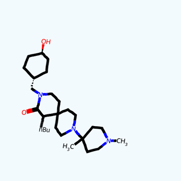 CCCCC1C(=O)N(C[C@H]2CC[C@H](O)CC2)CCC12CCN(C1(C)CCN(C)CC1)CC2